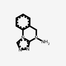 NN1Cc2ccccc2-n2cnnc21